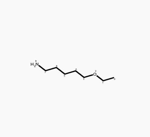 CCOC[CH]CCCN